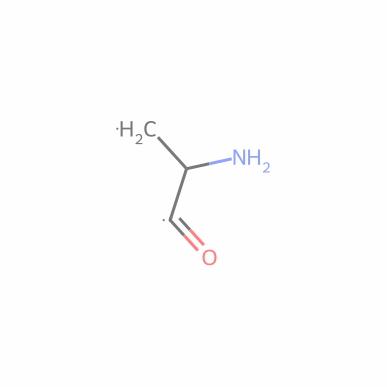 [CH2]C(N)[C]=O